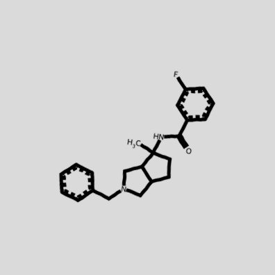 CC1(NC(=O)c2cccc(F)c2)CCC2CN(Cc3ccccc3)CC21